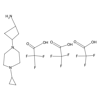 NC1CC(N2CCN(C3CC3)CC2)C1.O=C(O)C(F)(F)F.O=C(O)C(F)(F)F.O=C(O)C(F)(F)F